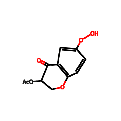 CC(=O)OC1COc2ccc(OO)cc2C1=O